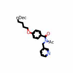 CCCCCCCCCCCCCCOc1ccc(C(=O)N(Cc2cccnc2)C(C)=O)cc1